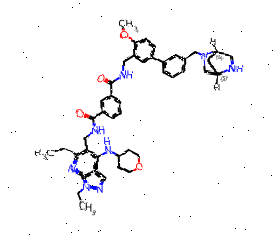 CCc1nc2c(cnn2CC)c(NC2CCOCC2)c1CNC(=O)c1cccc(C(=O)NCc2cc(-c3cccc(CN4C[C@@H]5C[C@H]4CN5)c3)ccc2OC)c1